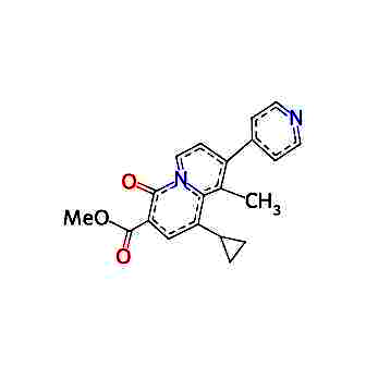 COC(=O)c1cc(C2CC2)c2c(C)c(-c3ccncc3)ccn2c1=O